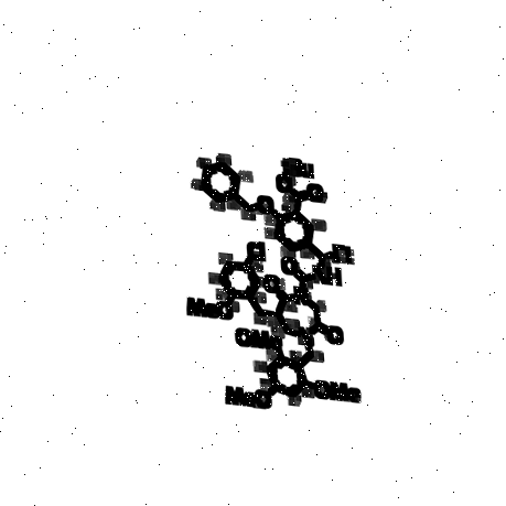 CC[C@@H](NC(=O)N1CC(=O)N(Cc2c(OC)cc(OC)cc2OC)C[C@@H](Cc2cc(Cl)ccc2OC)C1=O)c1ccc(OCc2ccccc2)c(C(=O)OC(C)(C)C)c1